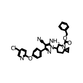 N#Cc1c(-c2ccc(Oc3ccc(Cl)cn3)cc2)nn(C2CCC3(CC3)N(C(=O)OCc3ccccc3)C2)c1N